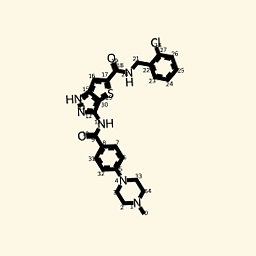 CN1CCN(c2ccc(C(=O)Nc3n[nH]c4cc(C(=O)NCc5ccccc5Cl)sc34)cc2)CC1